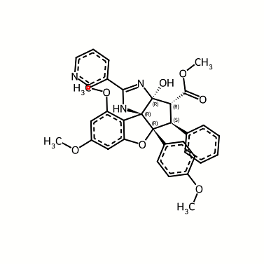 COC(=O)[C@@H]1[C@@H](c2ccccc2)[C@]2(c3ccc(OC)cc3)Oc3cc(OC)cc(OC)c3[C@@]23NC(c2cccnc2)=N[C@@]13O